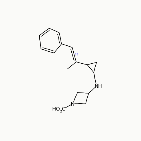 C/C(=C\c1ccccc1)C1CC1NC1CN(C(=O)O)C1